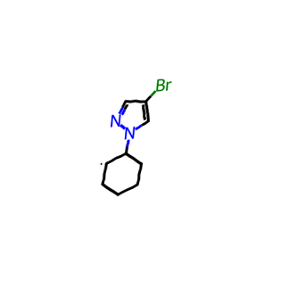 Brc1cnn(C2[CH]CCCC2)c1